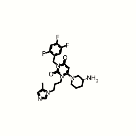 Cc1cncn1CCCn1c(N2CCC[C@@H](N)C2)cc(=O)n(Cc2cc(F)c(F)cc2F)c1=O